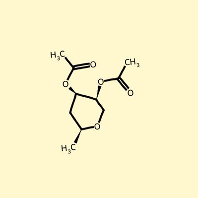 CC(=O)O[C@H]1CO[C@@H](C)C[C@H]1OC(C)=O